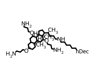 CCCCCCCCCCCCCCCCNCCCC(C)C1CC[C@H]2C3[C@H](OCCCN)CC4C[C@H](OCCCN)CC[C@]4(C)[C@H]3C[C@H](OCCCN)[C@]12C